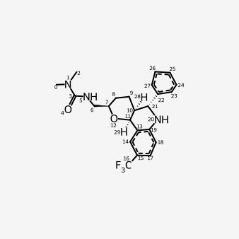 CN(C)C(=O)NC[C@H]1CC[C@@H]2[C@H](O1)c1cc(C(F)(F)F)ccc1N[C@H]2c1ccccc1